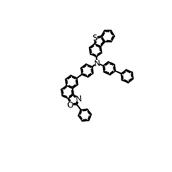 c1ccc(-c2ccc(N(c3ccc(-c4ccc5ccc6oc(-c7ccccc7)nc6c5c4)cc3)c3ccc4sc5ccccc5c4c3)cc2)cc1